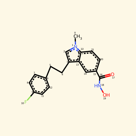 Cn1cc(CCc2ccc(F)cc2)c2cc(C(=O)NO)ccc21